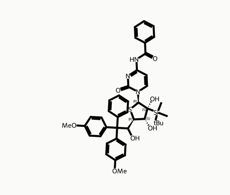 COc1ccc(C(c2ccccc2)(c2ccc(OC)cc2)C(O)[C@H]2S[C@@H](n3ccc(NC(=O)c4ccccc4)nc3=O)[C@@](O)([Si](C)(C)C(C)(C)C)[C@@H]2O)cc1